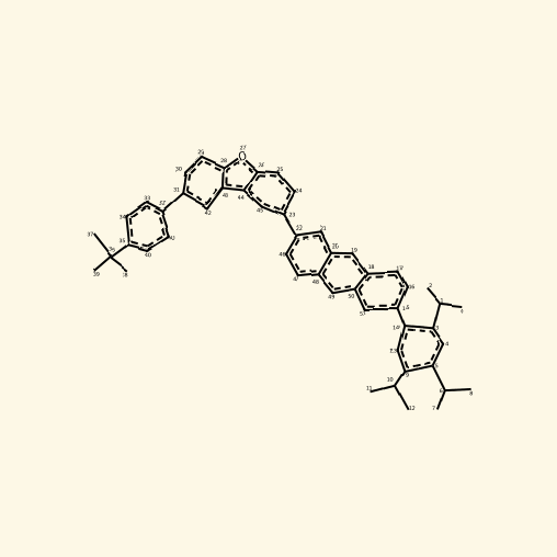 CC(C)c1cc(C(C)C)c(C(C)C)cc1-c1ccc2cc3cc(-c4ccc5oc6ccc(-c7ccc(C(C)(C)C)cc7)cc6c5c4)ccc3cc2c1